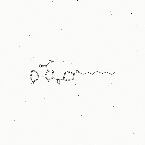 CCCCCCCCOc1ccc(Nc2nc(-c3cccnc3)c(C(=O)O)s2)cc1